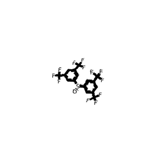 [O-][S+](c1cc(C(F)(F)F)cc(C(F)(F)F)c1)c1cc(C(F)(F)F)cc(C(F)(F)F)c1